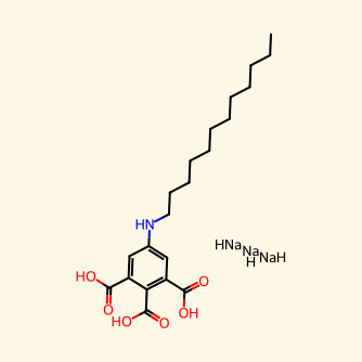 CCCCCCCCCCCCNc1cc(C(=O)O)c(C(=O)O)c(C(=O)O)c1.[NaH].[NaH].[NaH]